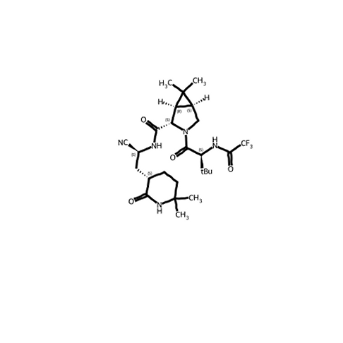 CC1(C)CC[C@@H](C[C@@H](C#N)NC(=O)[C@@H]2[C@@H]3[C@H](CN2C(=O)[C@@H](NC(=O)C(F)(F)F)C(C)(C)C)C3(C)C)C(=O)N1